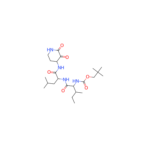 CCC(C)C(NC(=O)OCC(C)(C)C)C(=O)NC(CC(C)C)C(=O)NC1CCNC(=O)C1=O